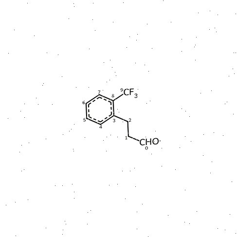 O=[C]CCc1ccccc1C(F)(F)F